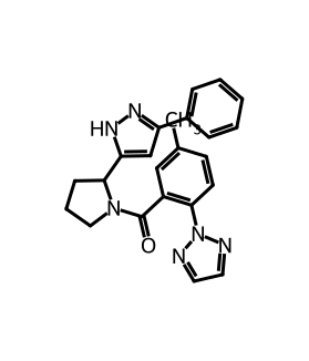 Cc1ccc(-n2nccn2)c(C(=O)N2CCCC2c2cc(-c3ccccc3)n[nH]2)c1